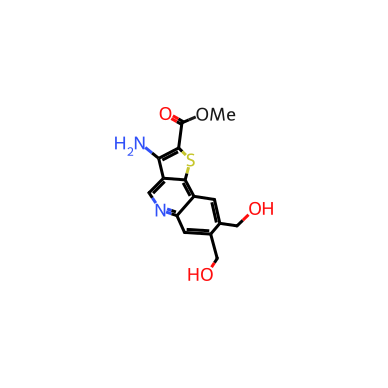 COC(=O)c1sc2c(cnc3cc(CO)c(CO)cc32)c1N